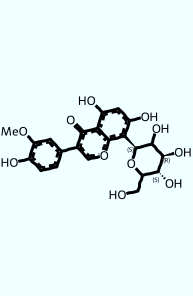 COc1cc(-c2coc3c([C@@H]4OC(CO)[C@@H](O)[C@H](O)C4O)c(O)cc(O)c3c2=O)ccc1O